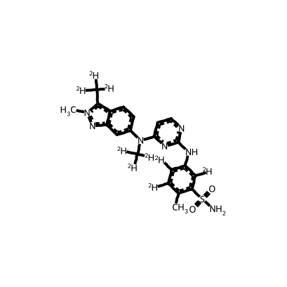 [2H]c1c([2H])c(Nc2nccc(N(c3ccc4c(C([2H])([2H])[2H])n(C)nc4c3)C([2H])([2H])[2H])n2)c([2H])c(S(N)(=O)=O)c1C